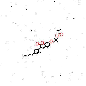 C=C(C)C(=O)OCC(C)(C)COc1ccc2cc(-c3ccc(CCCCC)cc3C)c(=O)oc2c1